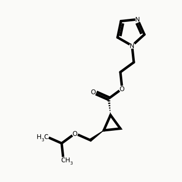 CC(C)OC[C@@H]1C[C@H]1C(=O)OCCn1ccnc1